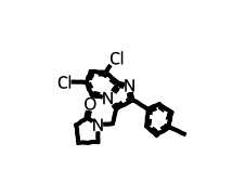 Cc1ccc(-c2nc3c(Cl)cc(Cl)cn3c2CN2CCCC2=O)cc1